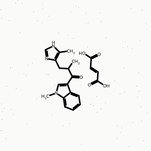 Cc1[nH]cnc1CC(C)C(=O)c1cn(C)c2ccccc12.O=C(O)C=CC(=O)O